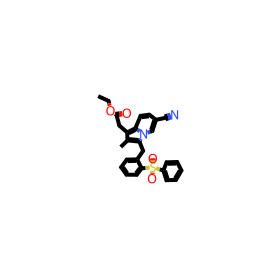 CCOC(=O)Cc1c(C)c(Cc2ccccc2S(=O)(=O)c2ccccc2)n2cc(C#N)ccc12